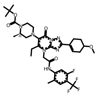 CCc1c(N2CCN(C(=O)OC(C)(C)C)[C@H](C)C2)c(=O)n2nc(C3=CCC(OC)CC3)nc2n1CC(=O)Nc1cc(F)c(C(F)(F)F)cc1C